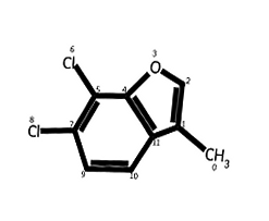 Cc1coc2c(Cl)c(Cl)ccc12